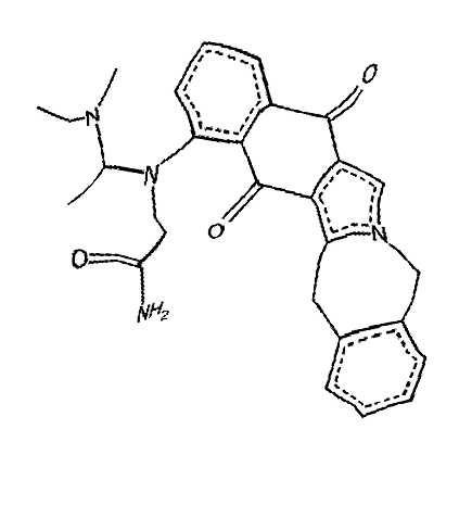 CC(N(C)C)N(CC(N)=O)c1cccc2c1C(=O)c1c(cn3c1Cc1ccccc1C3)C2=O